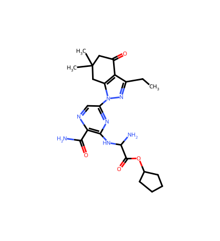 CCc1nn(-c2cnc(C(N)=O)c(NC(N)C(=O)OC3CCCC3)n2)c2c1C(=O)CC(C)(C)C2